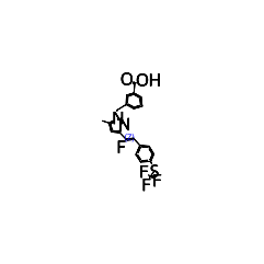 Cc1cc(/C(F)=C/c2ccc(SC(F)(F)F)cc2)nn1Cc1cccc(C(=O)O)c1